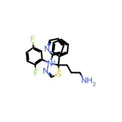 NCCCC1(c2ccccc2)SC=N[N+]1(c1ccccn1)c1cc(F)ccc1F